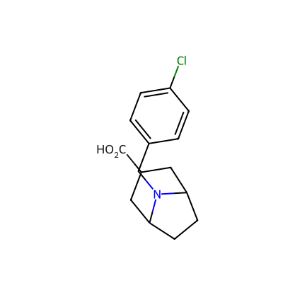 O=C(O)C1CC2CCC(C1)N2Cc1ccc(Cl)cc1